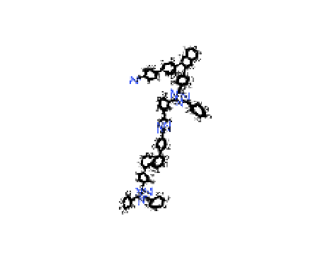 N#Cc1ccc(-c2ccc(-c3cc4ccccc4cc3-c3ccc(-c4nc(-c5ccccc5)nc(-c5cccc(-c6cnc(-c7ccc(-c8cccc9c(-c%10ccc(-c%11nc(-c%12ccccc%12)nc(-c%12ccccc%12)n%11)cc%10)cccc89)cc7)nc6)c5)n4)cc3)cc2)cc1